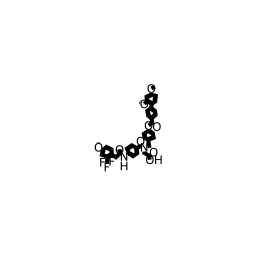 COc1ccc(-c2ccc(C(=O)Oc3ccc(CN(CC(=O)O)C(=O)c4ccc(NC(=O)Cc5ccc(OC)cc5C(F)(F)F)cc4)cc3)cc2)c(OC)c1